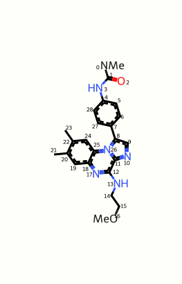 CNC(=O)Nc1ccc(-c2cnc3c(NCCOC)nc4cc(C)c(C)cc4n23)cc1